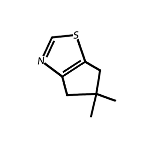 CC1(C)Cc2ncsc2C1